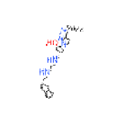 CNc1ncnc2c1ccn2[C@@H]1C[C@H](CNCCCNCCc2ccc3ccccc3c2)C[C@H]1O